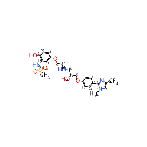 Cn1cc(C(F)(F)F)nc1-c1ccc(OCC(O)CNCCOc2ccc(O)c(NS(C)(=O)=O)c2)cc1